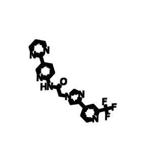 O=C(Cn1cnc(-c2ccnc(C(F)(F)F)c2)c1)Nc1ccc(-c2ncccn2)cn1